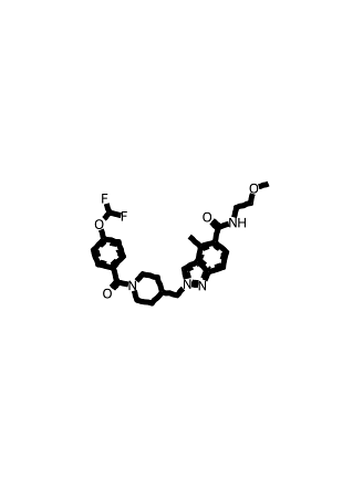 COCCNC(=O)c1ccc2nn(CC3CCN(C(=O)c4ccc(OC(F)F)cc4)CC3)cc2c1C